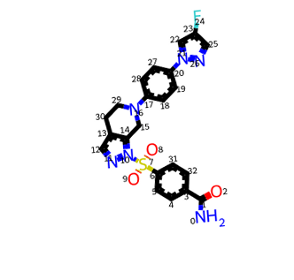 NC(=O)c1ccc(S(=O)(=O)n2ncc3c2CN(c2ccc(-n4cc(F)cn4)cc2)CC3)cc1